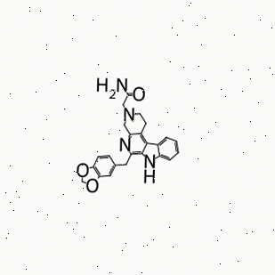 NC(=O)CN1CCc2c(nc(Cc3ccc4c(c3)OCO4)c3[nH]c4ccccc4c23)C1